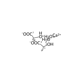 CC(O)C(=O)[O-].CC(O)C(=O)[O-].O.O.[Ca+2]